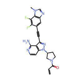 C=CC(=O)N1CC[C@H](n2nc(C#Cc3cc4ncn(C)c4c(F)c3F)c3c(N)nccc32)C1